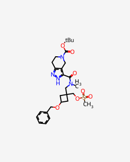 CN(CC1(COS(C)(=O)=O)CC(OCc2ccccc2)C1)C(=O)c1[nH]nc2c1CN(C(=O)OC(C)(C)C)CC2